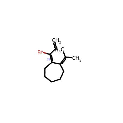 C=C/C(Br)=C1/CCCCCC1=C(C)C